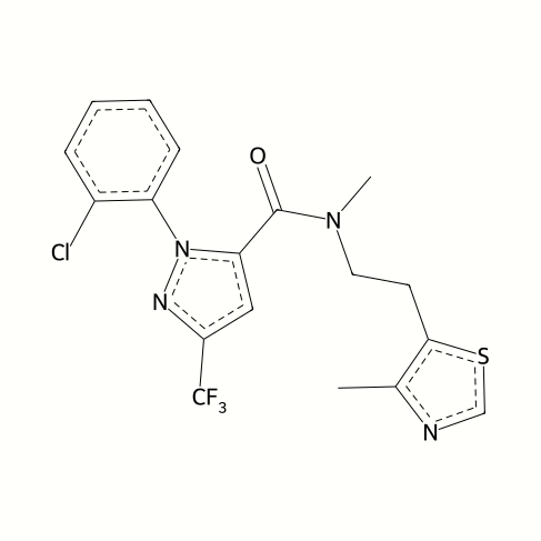 Cc1ncsc1CCN(C)C(=O)c1cc(C(F)(F)F)nn1-c1ccccc1Cl